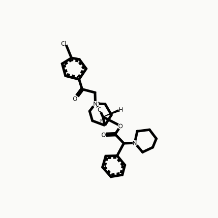 O=C(C[N+]12CCC(CC1)[C@@H](OC(=O)C(c1ccccc1)N1CCCCC1)C2)c1ccc(Cl)cc1